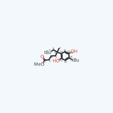 COC(=O)CCCC(C)(CC(C)(C)C)c1cc(O)c(C(C)(C)C)cc1O